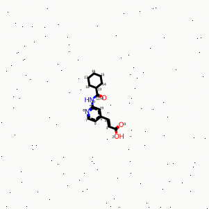 O=C(O)/C=C/c1ccnc(NC(=O)C2CCCCC2)c1